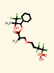 C=C(COCCC(F)(F)C(F)(F)S(=O)(=O)O)C(=O)OC(C1CCCCC1)C(C)(O)C(F)(F)F